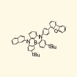 CC(C)(C)c1ccc2c(c1)B1c3ccc(C(C)(C)C)cc3N(c3ccc(-c4cccc5c4oc4ccccc45)cc3)c3cccc(c31)N2c1ccc2ccccc2c1